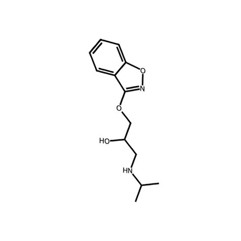 CC(C)NCC(O)COc1noc2ccccc12